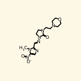 Cn1c([N+](=O)[O-])cnc1C=NN1CCN(CCN2CCOCC2)C1=O